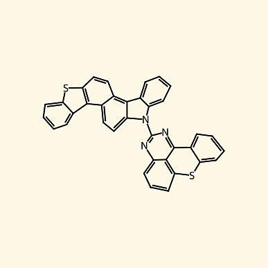 c1ccc2c(c1)Sc1cccc3nc(-n4c5ccccc5c5c6ccc7sc8ccccc8c7c6ccc54)nc-2c13